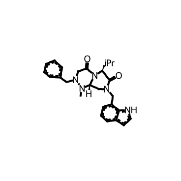 CC(C)[C@H]1C(=O)N(Cc2cccc3cc[nH]c23)C[C@H]2N1C(=O)CN(Cc1ccccc1)N2C